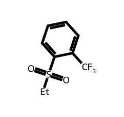 CCS(=O)(=O)c1ccccc1C(F)(F)F